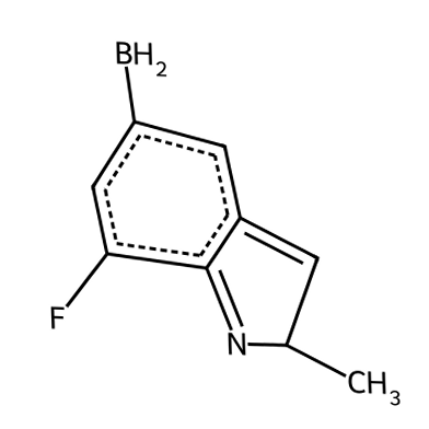 Bc1cc(F)c2c(c1)=CC(C)N=2